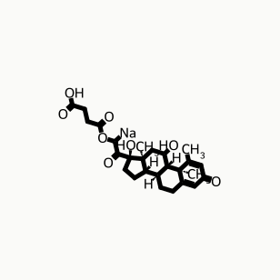 CC1=CC(=O)C=C2CC[C@@H]3[C@H](C(O)C[C@@]4(C)[C@H]3CC[C@]4(O)C(=O)[CH]([Na])OC(=O)CCC(=O)O)[C@@]12C